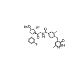 CC(=O)O[C@@H]1C[C@@H](c2cccc(F)c2)N(C(=O)CNC(=O)c2ccc(Cc3cc(C)n[nH]c3=O)c(C)c2)[C@H]1C(C)C